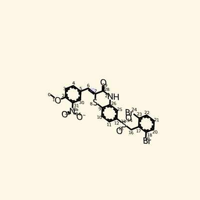 COc1ccc(/C=C2\Sc3ccc(S(=O)(=O)Cc4c(Br)cccc4Br)cc3NC2=O)cc1[N+](=O)[O-]